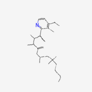 C=C(CC(C)CC(C)(C)CCCC)C(C)C(C)C(C)c1nccc(CC)c1C